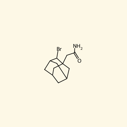 NC(=O)CC12CC3CC(CC(C3)C1Br)C2